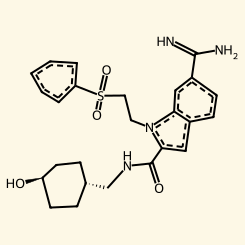 N=C(N)c1ccc2cc(C(=O)NC[C@H]3CC[C@H](O)CC3)n(CCS(=O)(=O)c3ccccc3)c2c1